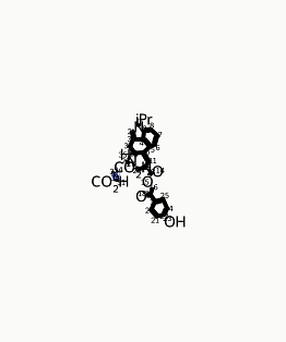 CC(C)n1cc2c3c(cccc31)C1=C[C@@H](C(=O)OCC(=O)c3ccc(O)cc3)CN(C)[C@@H]1C2.O=C(O)/C=C\C(=O)O